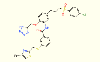 CC(C)c1csc(CSc2cccc(C(=O)Nc3cc(CCCS(=O)(=O)c4ccc(Cl)cc4)ccc3OCc3nnn[nH]3)c2)n1